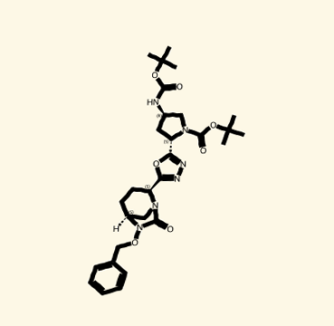 CC(C)(C)OC(=O)N[C@@H]1C[C@@H](c2nnc([C@@H]3CC[C@H]4CN3C(=O)N4OCc3ccccc3)o2)N(C(=O)OC(C)(C)C)C1